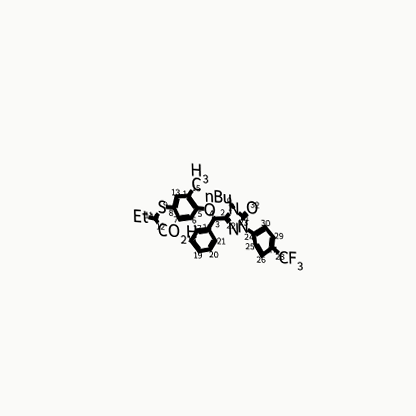 CCCCn1c(C(Oc2ccc(SC(CC)C(=O)O)cc2C)c2ccccc2)nn(-c2ccc(C(F)(F)F)cc2)c1=O